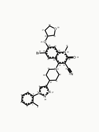 Cc1ccccc1-n1cc(C2CCN(c3c(C#N)c(=O)n(C)c4cc(OC5CCOC5)c(Br)cc34)CC2)nn1